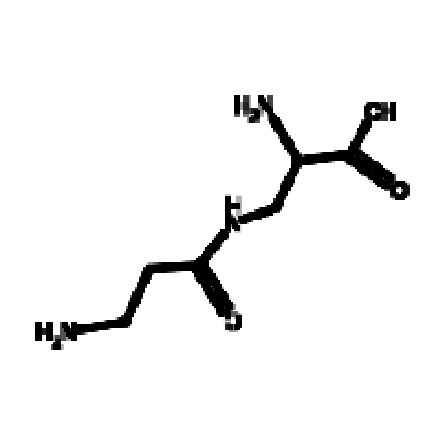 NCCC(=O)NCC(N)C(=O)O